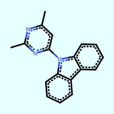 Cc1cc(-n2c3ccccc3c3ccccc32)nc(C)n1